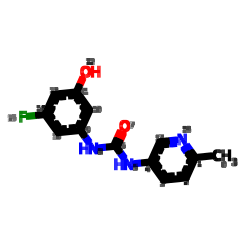 Cc1ccc(NC(=O)Nc2cc(O)cc(F)c2)cn1